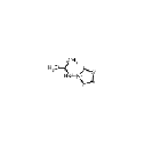 CC(C)NN1CCSC1